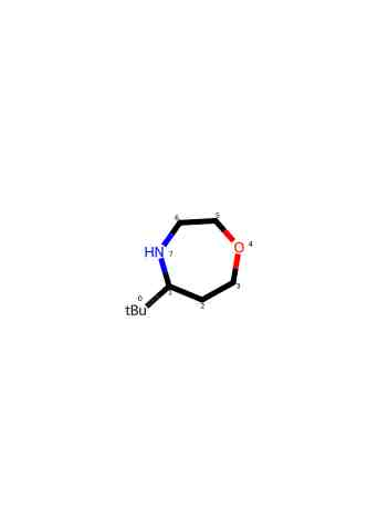 CC(C)(C)C1CCOCCN1